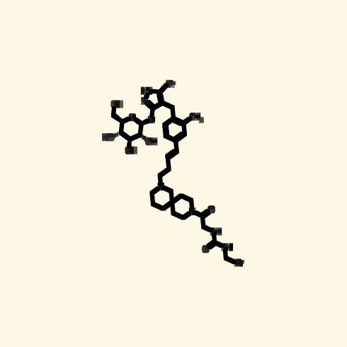 Cc1cc(/C=C/CCN2CCCC3(CCN(C(=O)CNC(=O)NCC(C)C)CC3)C2)ccc1Cc1c(O[C@@H]2O[C@H](CO)[C@@H](O)[C@H](O)[C@H]2O)n[nH]c1C(C)C